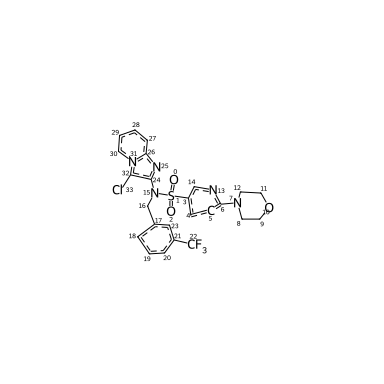 O=S(=O)(c1ccc(N2CCOCC2)nc1)N(Cc1cccc(C(F)(F)F)c1)c1nc2ccccn2c1Cl